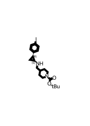 CC(C)(C)OC(=O)N1CCC(CN[C@H]2C[C@@H]2c2ccc(I)cc2)CC1